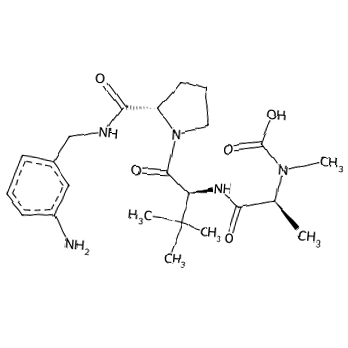 C[C@@H](C(=O)N[C@H](C(=O)N1CCC[C@H]1C(=O)NCc1cccc(N)c1)C(C)(C)C)N(C)C(=O)O